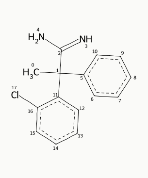 CC(C(=N)N)(c1ccccc1)c1ccccc1Cl